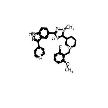 COc1cccc(F)c1CN1CCCC(C2NC(c3ccc4[nH]nc(-c5ccncc5)c4c3)=NN2C)C1